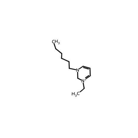 CCCCCCN1C=CC=[N+](CC)C1